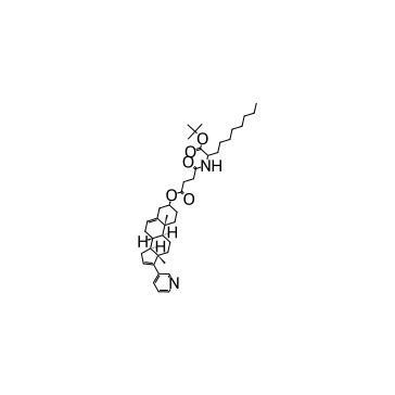 CCCCCCCCC(NC(=O)CCC(=O)O[C@H]1CC[C@@]2(C)C(=CC[C@@H]3[C@@H]2CC[C@]2(C)C(c4cccnc4)=CC[C@@H]32)C1)C(=O)OC(C)(C)C